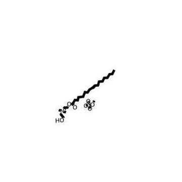 CCCCCCCCC=CCCCCCCCC(=O)OCC[N+](C)(C)CCO.COS(=O)(=O)[O-]